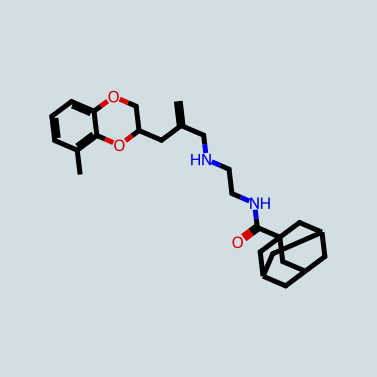 C=C(CNCCNC(=O)C12CC3CC(CC(C3)C1)C2)CC1COc2cccc(C)c2O1